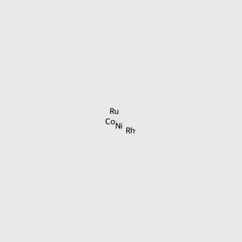 [Co].[Ni].[Rh].[Ru]